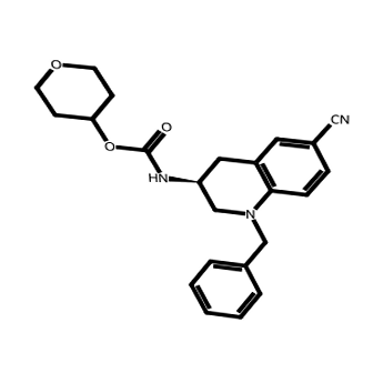 N#Cc1ccc2c(c1)C[C@H](NC(=O)OC1CCOCC1)CN2Cc1ccccc1